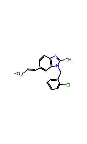 Cc1nc2ccc(/C=C/C(=O)O)cc2n1Cc1ccccc1Cl